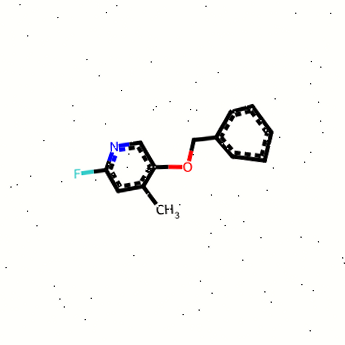 Cc1cc(F)ncc1OCc1ccccc1